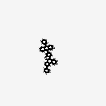 c1ccc(-c2ccc3c(c2)c2ccccc2c2c4ccc(-c5c6ccccc6c(-c6ccccc6)c6ccccc56)cc4sc32)cc1